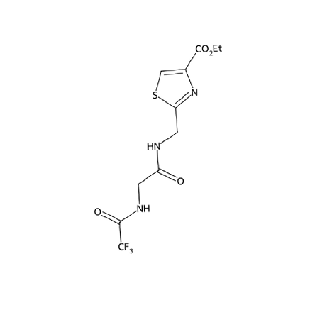 CCOC(=O)c1csc(CNC(=O)CNC(=O)C(F)(F)F)n1